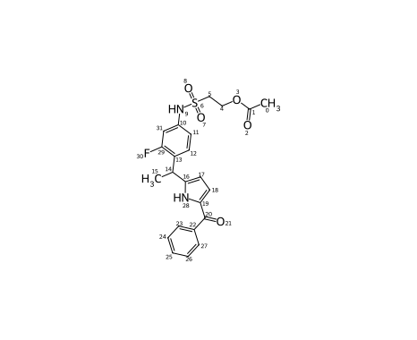 CC(=O)OCCS(=O)(=O)Nc1ccc(C(C)c2ccc(C(=O)c3ccccc3)[nH]2)c(F)c1